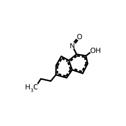 CCCc1ccc2c(N=O)c(O)ccc2c1